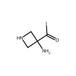 NC1(C(=O)I)CNC1